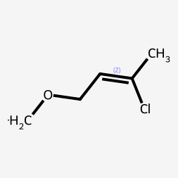 [CH2]OC/C=C(/C)Cl